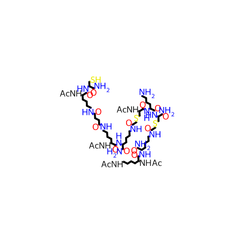 CC(=O)NCCCCC(NC(C)=O)C(=O)NC(CCCCNC(=O)CSCC(NC(=O)C(CCCCN)NC(=O)C(CSCC(=O)NCCCCC(NC(=O)C(CCCCNC(=O)CCC(=O)NCCCCC(NC(C)=O)C(=O)NC(CS)C(N)=O)NC(C)=O)C(N)=O)NC(C)=O)C(N)=O)C(N)=O